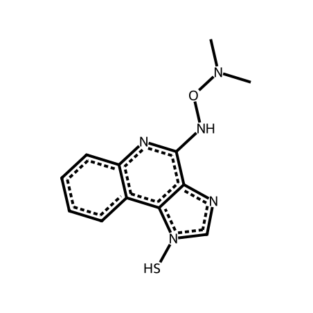 CN(C)ONc1nc2ccccc2c2c1ncn2S